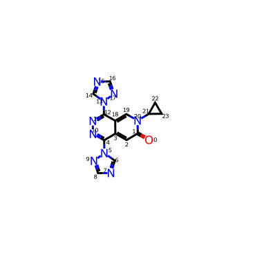 O=c1cc2c(-n3cncn3)nnc(-n3cncn3)c2cn1C1CC1